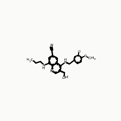 CCCNc1cc(C#N)cc2c(NCc3ccc(OC)c(Cl)c3)c(CO)cnc12